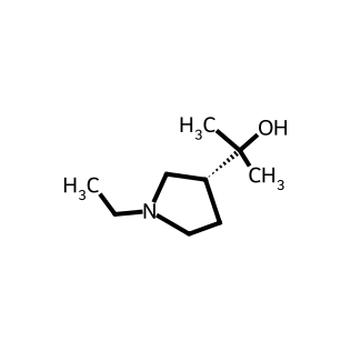 CCN1CC[C@@H](C(C)(C)O)C1